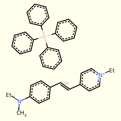 CCN(C)c1ccc(/C=C/c2cc[n+](CC)cc2)cc1.c1ccc([B-](c2ccccc2)(c2ccccc2)c2ccccc2)cc1